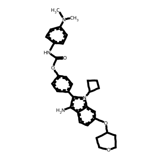 CN(C)c1ccc(NC(=O)Oc2ccc(-c3c(N)c4ccc(OC5CCOCC5)cc4n3C3CCC3)cc2)cc1